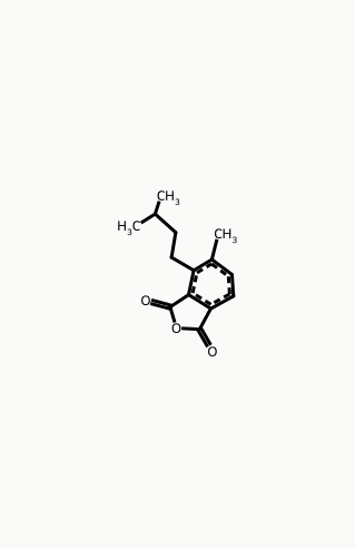 Cc1ccc2c(c1CCC(C)C)C(=O)OC2=O